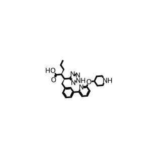 CCC[C@H](C(=O)O)[C@H](Cc1cccc(-c2cccc(OC3CCNCC3)n2)c1)c1nn[nH]n1